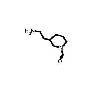 NCCC1CCCN(C=O)C1